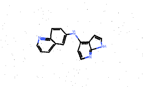 c1cnc2ccc(Nc3ccnc4[nH]ccc34)cc2c1